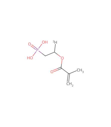 [2H]C(CP(=O)(O)O)OC(=O)C(=C)C